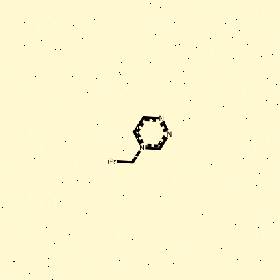 CC(C)C[n+]1ccnnc1